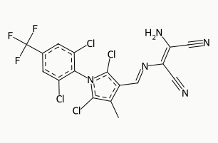 Cc1c(C=NC(C#N)=C(N)C#N)c(Cl)n(-c2c(Cl)cc(C(F)(F)F)cc2Cl)c1Cl